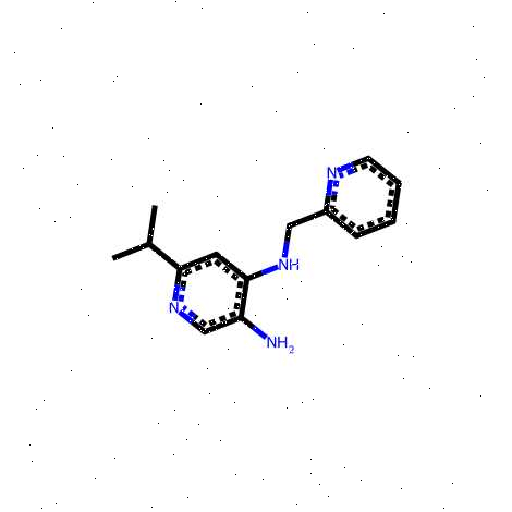 CC(C)c1cc(NCc2ccccn2)c(N)cn1